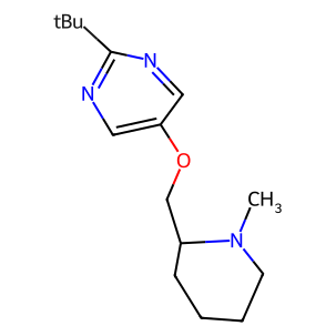 CN1CCCCC1COc1cnc(C(C)(C)C)nc1